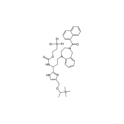 CC[Si](CC)(CC)CCOC(=O)NC(CCN1CCN(C(=O)c2cccc3ccccc23)Cc2ccccc21)c1nc(COC(C)[Si](C)(C)C)c[nH]1